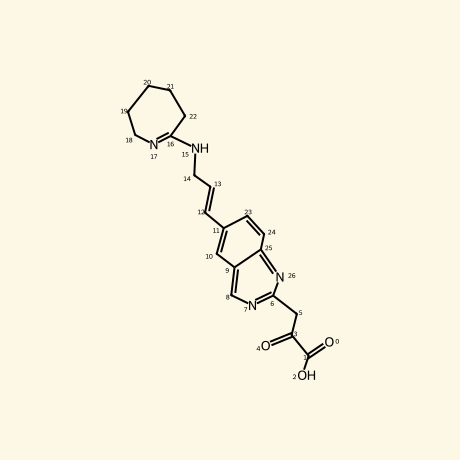 O=C(O)C(=O)Cc1ncc2cc(/C=C/CNC3=NCCCCC3)ccc2n1